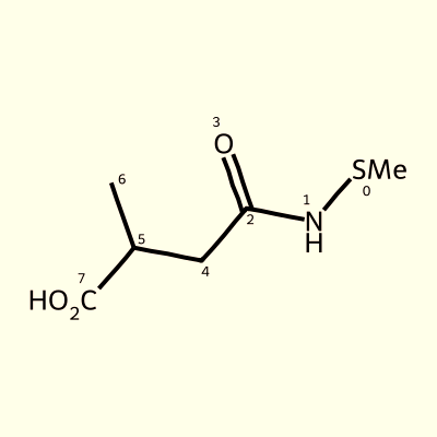 CSNC(=O)CC(C)C(=O)O